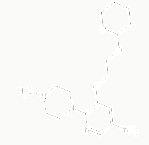 CN1CCN(c2ncc(N)cc2OCCOC2CCCCO2)CC1